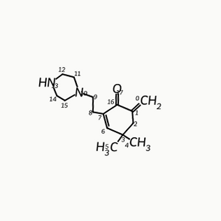 C=C1CC(C)(C)C=C(CCN2CCNCC2)C1=O